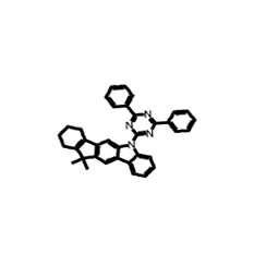 CC1(C)C2=C(CCCC2)c2cc3c(cc21)c1ccccc1n3-c1nc(-c2ccccc2)nc(-c2ccccc2)n1